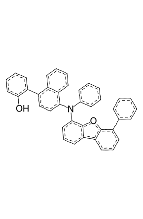 Oc1ccccc1-c1ccc(N(c2ccccc2)c2cccc3c2oc2c(-c4ccccc4)cccc23)c2ccccc12